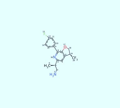 C[C@H](CN)c1cc2c(c(-c3ccc(F)cc3)n1)OC[C@H]2C(F)(F)F